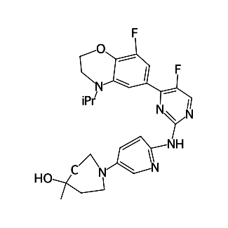 CC(C)N1CCOc2c(F)cc(-c3nc(Nc4ccc(N5CCC(C)(O)CC5)cn4)ncc3F)cc21